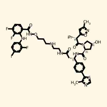 Cc1cc([C@H](C(=O)N2C[C@H](O)C[C@H]2C(=O)N[C@@H](CC(=O)NCCNCCCONC(=O)c2ccc(F)c(F)c2Nc2ccc(I)cc2F)c2ccc(-c3scnc3C)cc2)C(C)C)on1